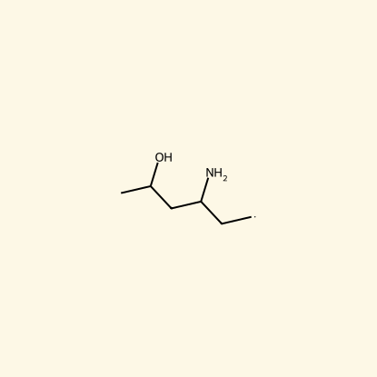 [CH2]CC(N)CC(C)O